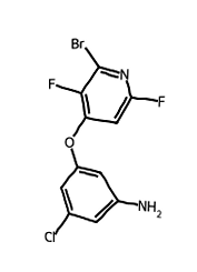 Nc1cc(Cl)cc(Oc2cc(F)nc(Br)c2F)c1